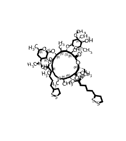 CC[C@H]1OC(=O)[C@H](C)[C@@H](O[C@H]2C[C@@](C)(OC)[C@@H](O)[C@H](C)O2)[C@H](C)[C@@H](O[C@@H]2O[C@H](C)CC(N(C)C)[C@H]2OC(=O)CCCCC2CCSS2)C(=O)C[C@@H](C)CN(C)[C@H](C)[C@@H](OC(=O)CCCCC2CCSS2)[C@]1(C)O